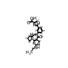 CCNc1ncc2c(n1)N1CCC[C@H]1CN(c1cccc(-c3nc(C(=O)O)co3)c1)C2=O